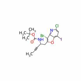 CC#CC(Cc1oc2c(I)cc(Cl)nc2c1Br)NC(=O)OC(C)(C)C